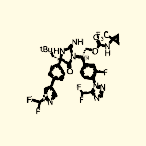 CC(C)(C)C[C@]1(c2ccc(-c3cnn(C(F)F)c3)cc2)NC(=N)N([C@H](COC(=O)NC2(C(F)(F)F)CC2)c2ccc(-n3ncnc3C(F)F)c(F)c2)C1=O